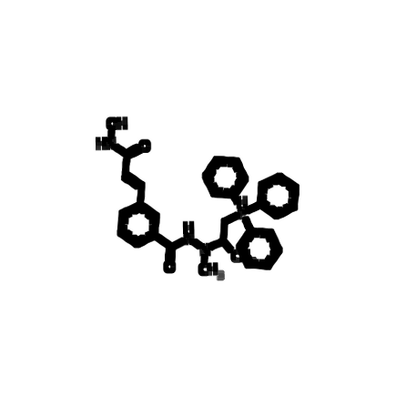 CC(C[PH](c1ccccc1)(c1ccccc1)c1ccccc1)N(C)NC(=O)c1cccc(/C=C/C(=O)NO)c1